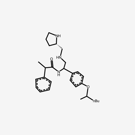 CCCCC(C)Oc1ccc(C(CNC[C@@H]2CCCN2)NC(=O)C(C)c2ccccc2)cc1